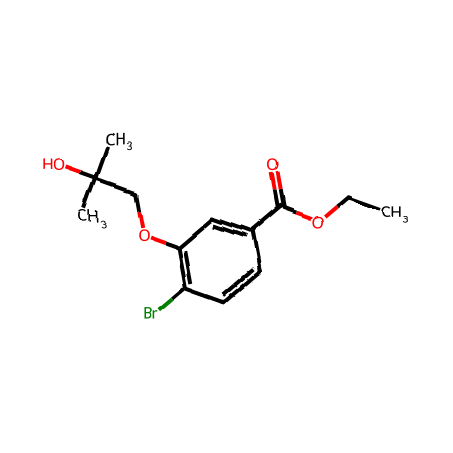 CCOC(=O)c1ccc(Br)c(OCC(C)(C)O)c1